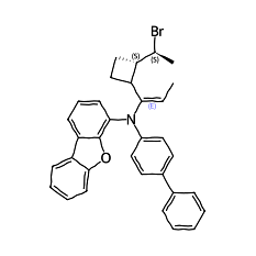 C/C=C(\C1CC[C@@H]1[C@H](C)Br)N(c1ccc(-c2ccccc2)cc1)c1cccc2c1oc1ccccc12